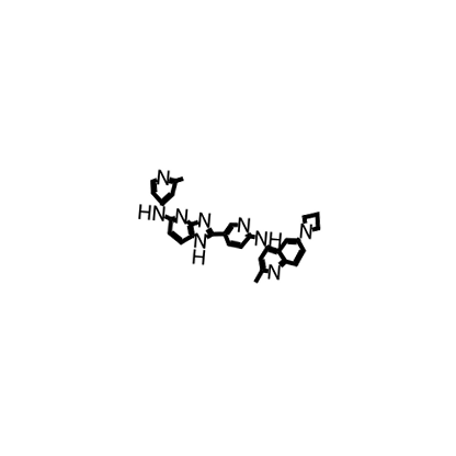 Cc1cc(Nc2ccc3[nH]c(-c4ccc(Nc5cc(C)nc6ccc(N7CCC7)cc56)nc4)nc3n2)ccn1